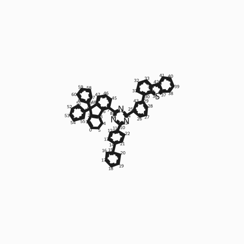 C1=CC2=C(CC1)c1c(-c3nc(-c4ccc(-c5ccccc5)cc4)nc(-c4cccc(-c5cccc6c5sc5ccccc56)c4)n3)cccc1C2(c1ccccc1)c1ccccc1